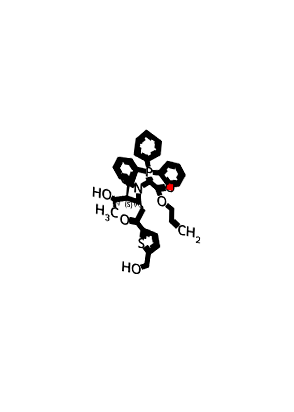 C=CCOC(=O)C(N1C(=O)[C@H]([C@@H](C)O)[C@H]1CC(=O)c1ccc(CO)s1)=P(c1ccccc1)(c1ccccc1)c1ccccc1